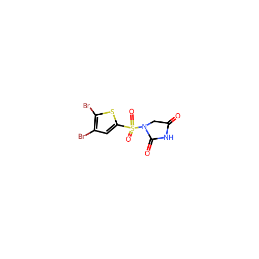 O=C1CN(S(=O)(=O)c2cc(Br)c(Br)s2)C(=O)N1